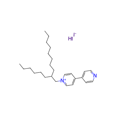 CCCCCCCCC(CCCCCC)C[n+]1ccc(-c2ccncc2)cc1.I.[I-]